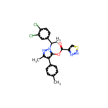 Cc1ccc(-c2c(C)nn(C(C)c3ccc(Cl)c(Cl)c3)c2OC(=O)c2csnn2)cc1